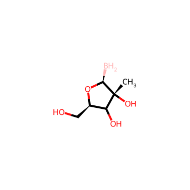 B[C@@H]1O[C@H](CO)C(O)[C@@]1(C)O